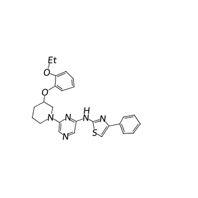 CCOc1ccccc1OC1CCCN(c2cncc(Nc3nc(-c4ccccc4)cs3)n2)C1